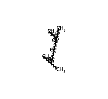 CCCCCCC(CCCCCC)OC(=O)CCCCCC(=O)CCCCCC(=O)OC(CCCCCC)CCCCCC